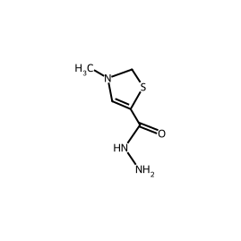 CN1C=C(C(=O)NN)SC1